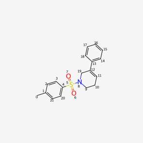 Cc1ccc(S(=O)(=O)N2CCC=C(c3ccccc3)C2)cc1